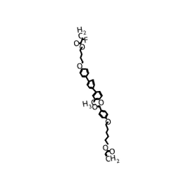 C=CC(=O)OCCCCCCOc1ccc(C(=O)Oc2ccc(-c3ccc(-c4ccc(OCCCCOC(=O)C(=C)F)cc4)cc3)cc2C)cc1